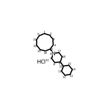 C1CCCCC(N2CCC(C3CCCCC3)CC2)CCCC1.Cl